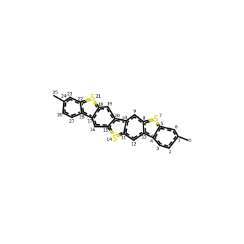 Cc1ccc2c(c1)sc1cc3c(cc12)sc1cc2c(cc13)sc1cc(C)ccc12